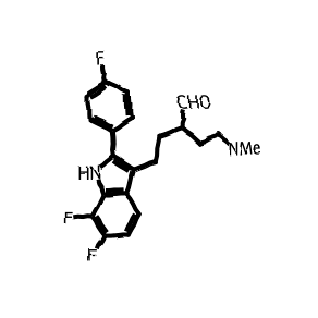 CNCCC(C=O)CCc1c(-c2ccc(F)cc2)[nH]c2c(F)c(F)ccc12